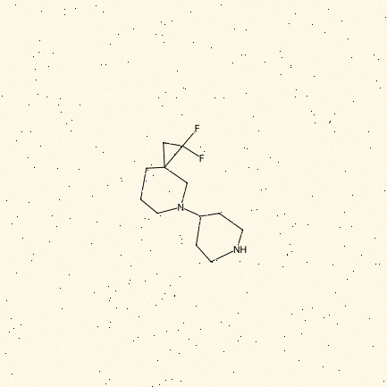 FC1(F)CC12CCCN(C1CCNCC1)C2